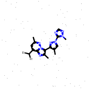 CCC(CC)c1cc(C)nn2c(-c3nn(-c4ncnn4C)cc3C)c(C)nc12